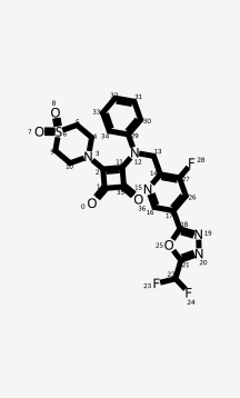 O=c1c(N2CCS(=O)(=O)CC2)c(N(Cc2ncc(-c3nnc(C(F)F)o3)cc2F)c2ccccc2)c1=O